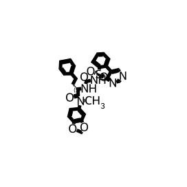 CN(C(=O)[C@H](CCc1ccccc1)NC(=O)NS(=O)(=O)c1ccccc1-c1cncnc1)c1ccc2c(c1)OCO2